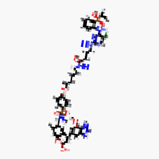 COc1cc(C(CC(=O)O)c2ccc(C)c(CN(C)S(=O)(=O)c3ccc(OCCCCCCNC(=O)CCCNc4ncc(Cl)c(Nc5ccccc5S(=O)(=O)C(C)C)n4)cc3)c2)cc2nnn(C)c12